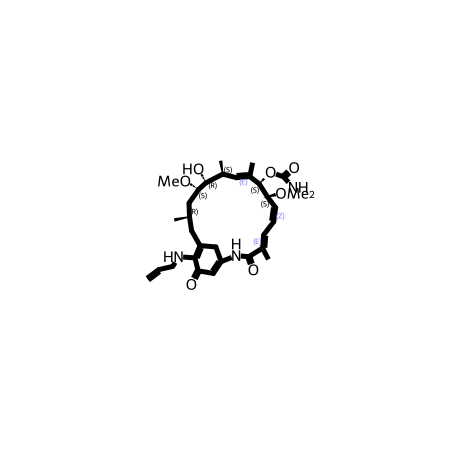 C=CCNC1=C2CC(=CC1=O)NC(=O)/C(C)=C/C=C\[C@H](OC)[C@@H](OC(N)=O)/C(C)=C/[C@H](C)[C@@H](O)[C@@H](OC)C[C@H](C)C2